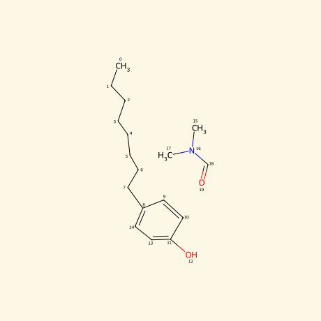 CCCCCCCCc1ccc(O)cc1.CN(C)C=O